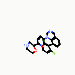 Fc1cccc(F)c1-c1cccc2c1N(c1ccc(C3CNCCO3)nc1)CN=C2